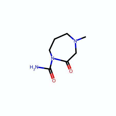 CN1CCCN(C(N)=O)C(=O)C1